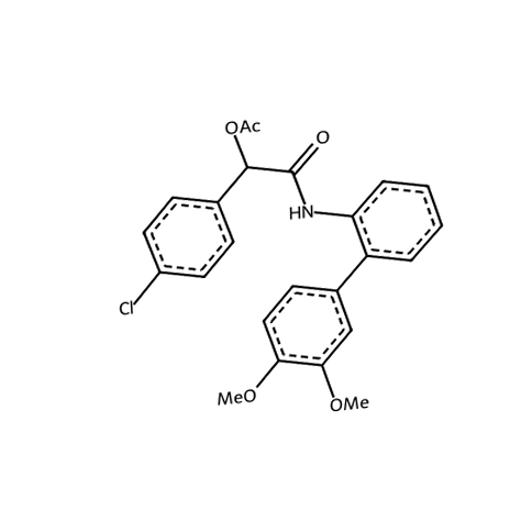 COc1ccc(-c2ccccc2NC(=O)C(OC(C)=O)c2ccc(Cl)cc2)cc1OC